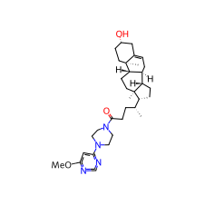 COc1cc(N2CCN(C(=O)CC[C@@H](C)[C@H]3CC[C@H]4[C@@H]5CC=C6C[C@@H](O)CC[C@]6(C)[C@H]5CC[C@]34C)CC2)ncn1